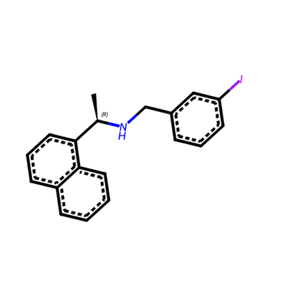 C[C@@H](NCc1cccc(I)c1)c1cccc2ccccc12